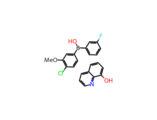 COc1cc(B(O)c2cccc(F)c2)ccc1Cl.Oc1cccc2cccnc12